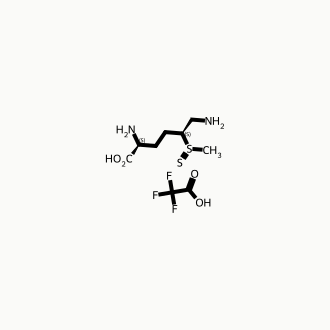 CS(=S)[C@H](CN)CC[C@H](N)C(=O)O.O=C(O)C(F)(F)F